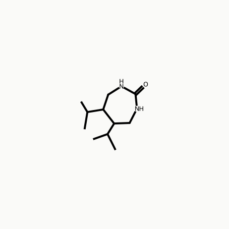 CC(C)C1CNC(=O)NCC1C(C)C